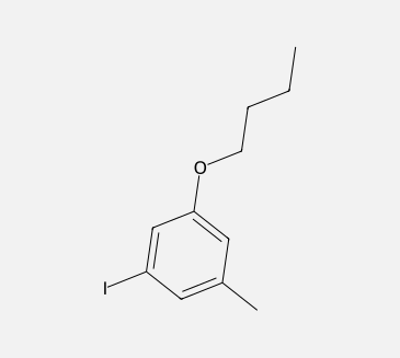 CCCCOc1cc(C)cc(I)c1